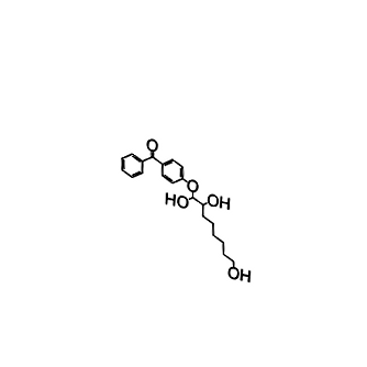 O=C(c1ccccc1)c1ccc(OC(O)C(O)CCCCCCO)cc1